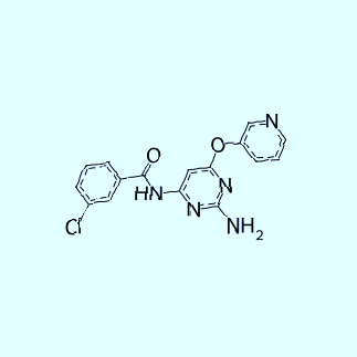 Nc1nc(NC(=O)c2cccc(Cl)c2)cc(Oc2cccnc2)n1